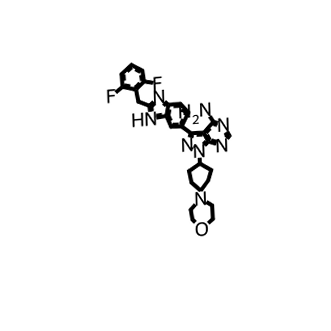 Nc1ncnc2c1c(-c1ccc3nc(Cc4c(F)cccc4F)[nH]c3c1)nn2C1CCC(N2CCOCC2)CC1